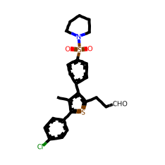 Cc1c(-c2ccc(Cl)cc2)sc(CCC=O)c1-c1ccc(S(=O)(=O)N2CCCCC2)cc1